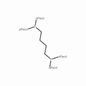 CCCCCP(CCCCC)CCCCP(CCCCC)CCCCC